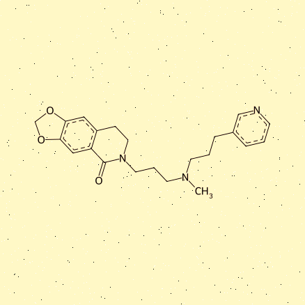 CN(CCCc1cccnc1)CCCN1CCc2cc3c(cc2C1=O)OCO3